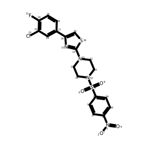 O=[N+]([O-])c1ccc(S(=O)(=O)N2CCN(c3nc(-c4ccc(F)c(Cl)c4)cs3)CC2)cc1